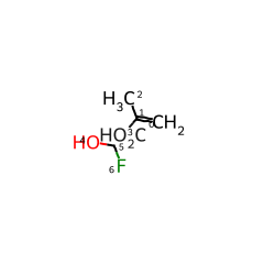 C=C(C)C(=O)O.OCF